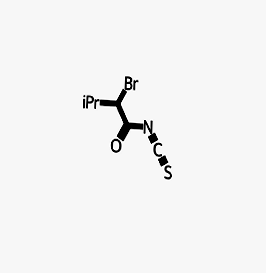 CC(C)C(Br)C(=O)N=C=S